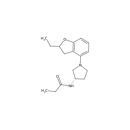 CCC(=O)N[C@H]1CCN(c2cccc3c2CC(CC)O3)C1